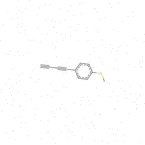 C#CC#Cc1ccc(SC)cc1